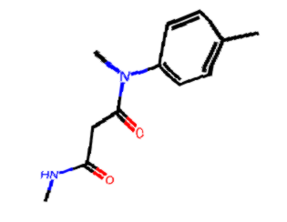 CNC(=O)CC(=O)N(C)c1ccc(C)cc1